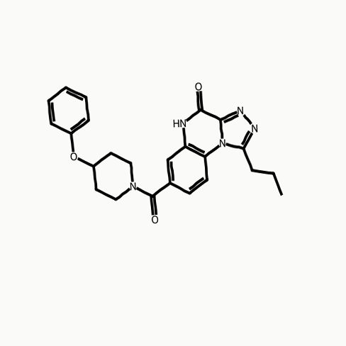 CCCc1nnc2c(=O)[nH]c3cc(C(=O)N4CCC(Oc5ccccc5)CC4)ccc3n12